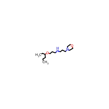 CCCC(CC)OCCCNCCCN1CCOCC1